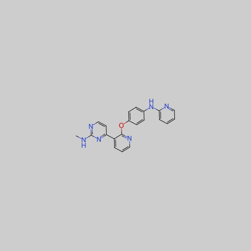 CNc1nccc(-c2cccnc2Oc2ccc(Nc3ccccn3)cc2)n1